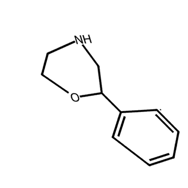 [c]1ccccc1C1CNCCO1